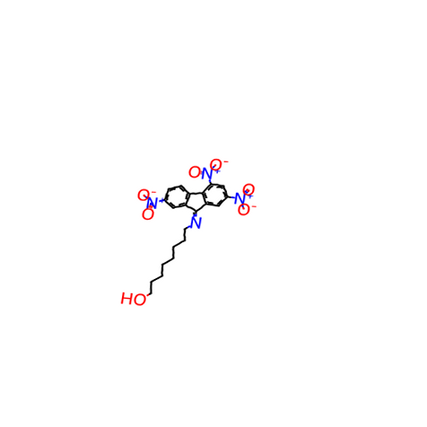 O=[N+]([O-])c1ccc2c(c1)/C(=N\CCCCCCCCO)c1cc([N+](=O)[O-])cc([N+](=O)[O-])c1-2